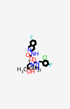 CN(C(=O)NCc1ccc(F)cc1Cl)[C@H](COC(=O)Nc1cc2ccc(F)cc2cn1)CC(C)(C)O